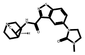 CN1CCN(c2ccc3snc(C(=O)N[C@@H]4CN5CCC4CC5)c3c2)C1=O